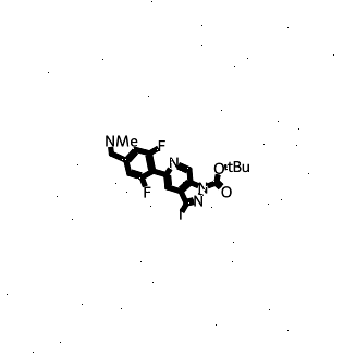 CNCc1cc(F)c(-c2cc3c(I)nn(C(=O)OC(C)(C)C)c3cn2)c(F)c1